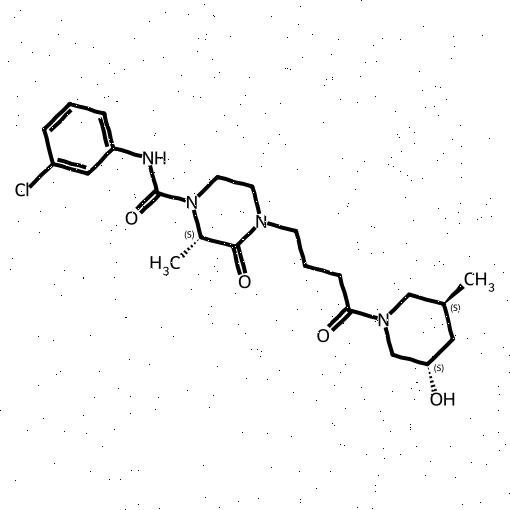 C[C@H]1C[C@H](O)CN(C(=O)CCCN2CCN(C(=O)Nc3cccc(Cl)c3)[C@@H](C)C2=O)C1